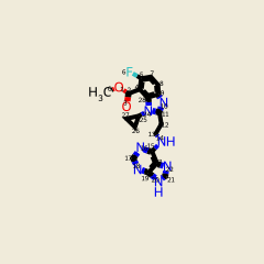 COC(=O)c1c(F)ccc2nc(CCNc3ncnc4[nH]cnc34)n(C3CC3)c12